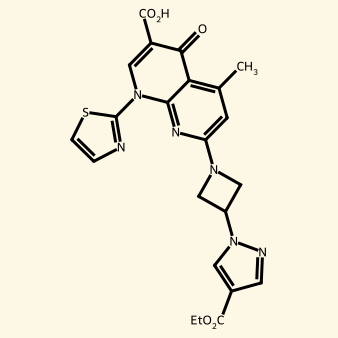 CCOC(=O)c1cnn(C2CN(c3cc(C)c4c(=O)c(C(=O)O)cn(-c5nccs5)c4n3)C2)c1